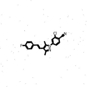 Cc1nn(-c2ccc(C#N)c(Cl)c2)c(C)c1C=Cc1ccc(F)cc1